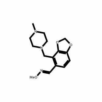 CON=Cc1ccc2c(c1CN1CCN(C)CC1)OCO2